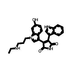 CCNCCCn1cc(C2=C(c3c[nH]c4ccccc34)C(=O)NC2=O)c2ccc(O)cc21